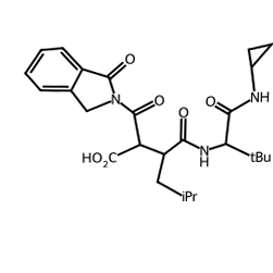 CC(C)CC(C(=O)NC(C(=O)NC1CC1)C(C)(C)C)C(C(=O)O)C(=O)N1Cc2ccccc2C1=O